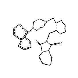 O=C1C2CCCCC2C(=O)N1CC1CCCCC1CN1CCN(c2cccc3ccccc23)CC1